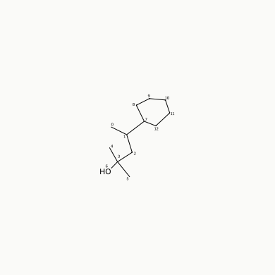 CC(CC(C)(C)O)C1CCCCC1